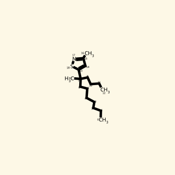 CCCCCCCC(C)(CCCC)c1cc(C)ns1